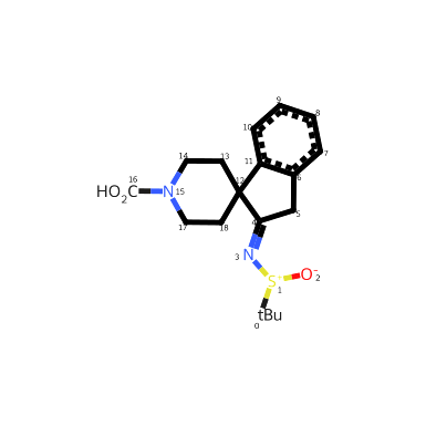 CC(C)(C)[S+]([O-])N=C1Cc2ccccc2C12CCN(C(=O)O)CC2